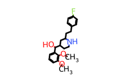 COc1cccc(C(O)C2CCNC(CCc3ccc(F)cc3)C2)c1OC